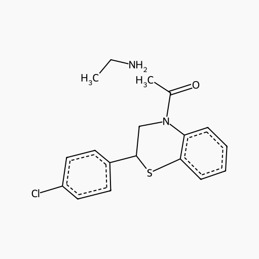 CC(=O)N1CC(c2ccc(Cl)cc2)Sc2ccccc21.CCN